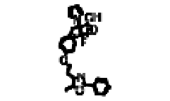 Cc1oc(-c2ccccc2)nc1CCOc1ccc(CC(C(=O)O)(n2cccc2)C(F)(F)F)cc1